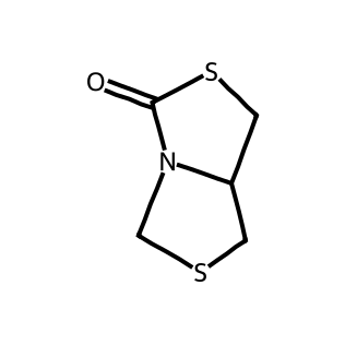 O=C1SCC2CSCN12